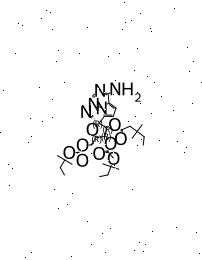 CCC(C)(C)CC(=O)O[C@@H]1[C@H](OC(=O)OC(C)(C)CC)[C@@H](COC(=O)OC(C)(C)CC)O[C@@]1(C#N)c1ccc2c(N)ncnn12